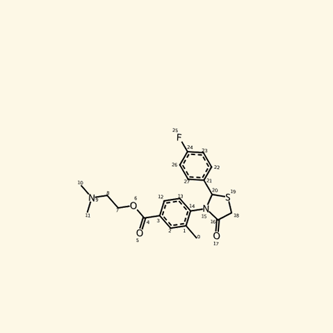 Cc1cc(C(=O)OCCN(C)C)ccc1N1C(=O)CSC1c1ccc(F)cc1